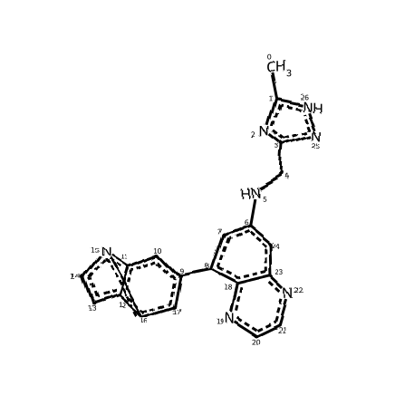 Cc1nc(CNc2cc(-c3cc4c5ccn4c5c3)c3nccnc3c2)n[nH]1